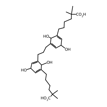 CC(C)(CCCCC1=CC(O)C=C(CCCC2=CC(O)C=C(CCCCC(C)(C)C(=O)O)C2O)C1O)C(=O)O